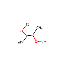 CCCC(OCC)C(C)OCC